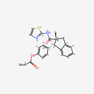 CNC(=O)Oc1ccc([C@H]2c3ccccc3C[C@@]2(C)C(=O)Nc2nccs2)cc1